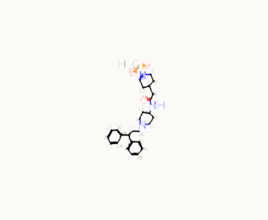 CS(=O)(=O)N1CCC(CC(=O)NC2CCN(CCC(c3ccccc3)c3ccccc3)CC2)CC1